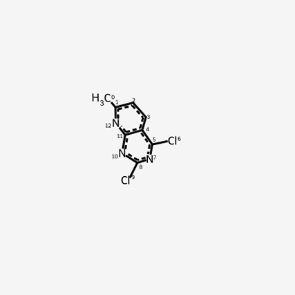 Cc1ccc2c(Cl)nc(Cl)nc2n1